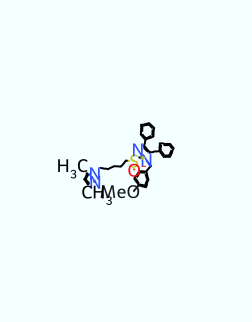 COc1ccc(Cn2c([S+]([O-])CCCCCn3nc(C)cc3C)nc(-c3ccccc3)c2-c2ccccc2)cc1